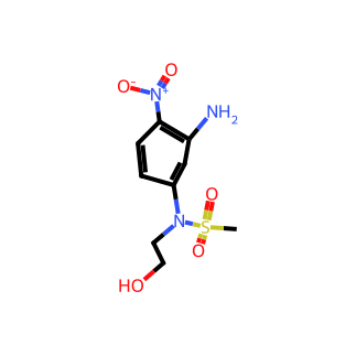 CS(=O)(=O)N(CCO)c1ccc([N+](=O)[O-])c(N)c1